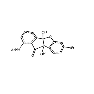 CC(=O)Nc1cccc2c1C(=O)C1(O)c3ccc(C(C)C)cc3OC21O